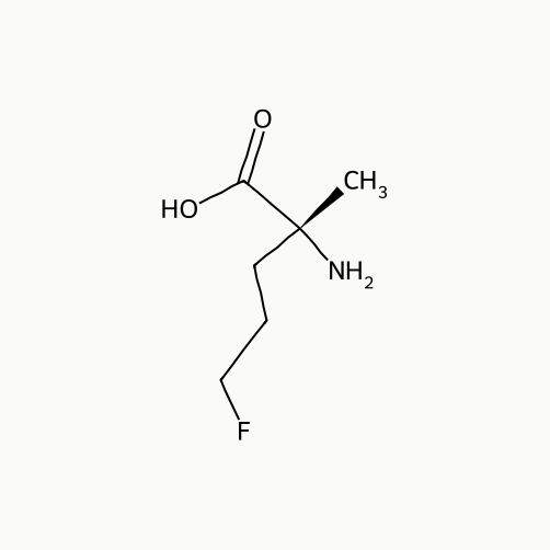 C[C@@](N)(CCCF)C(=O)O